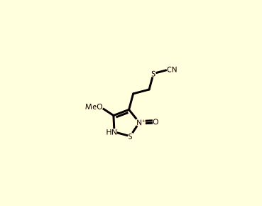 COc1[nH]s[n+](=O)c1CCSC#N